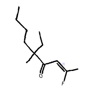 CCCCC(C)(CC)C(=O)/C=C(/C)F